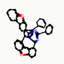 C1=CCCC(c2ccc(-c3cccc4oc5cccc(-c6nc(-c7ccccc7)nc(-c7ccc8c(c7)oc7ccccc78)n6)c5c34)cc2)=C1